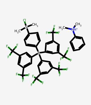 C[NH+](C)c1ccccc1.C[Si](C)(Cl)c1ccc([B-](c2cc(C(F)(F)F)cc(C(F)(F)F)c2)(c2cc(C(F)(F)F)cc(C(F)(F)F)c2)c2cc(C(F)(F)F)cc(C(F)(F)F)c2)cc1